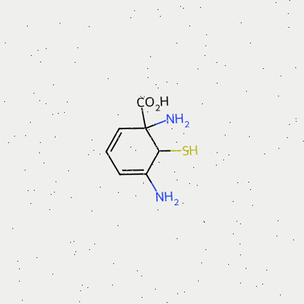 NC1=CC=CC(N)(C(=O)O)C1S